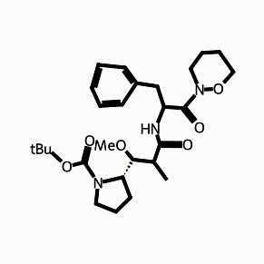 COC(C(C)C(=O)NC(Cc1ccccc1)C(=O)N1CCCCO1)[C@@H]1CCCN1C(=O)OC(C)(C)C